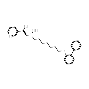 N/C(=C\N(N)CCCCCCCOc1ccccc1-c1ccccc1)c1cccnc1